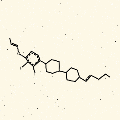 C/C=C/Oc1ccc(C2CCC(C3CCC(/C=C/CCC)CC3)CC2)c(F)c1F